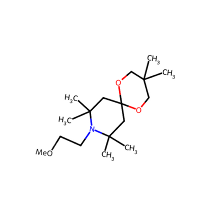 COCCN1C(C)(C)CC2(CC1(C)C)OCC(C)(C)CO2